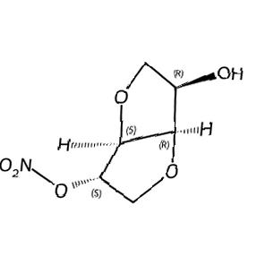 O=[N+]([O-])O[C@H]1CO[C@H]2[C@@H]1OC[C@H]2O